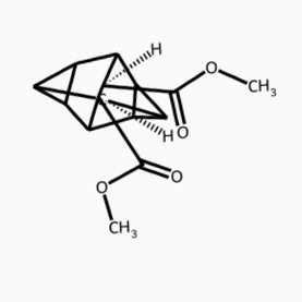 COC(=O)[C@@H]1C2C3C4CC5C2C5C(C43)[C@@H]1C(=O)OC